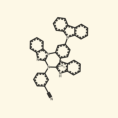 Cc1ccc(-n2c3ccccc3c3ccccc32)cc1-n1c(N(c2cccc(C#N)c2)c2nc3ccccc3[nH]2)nc2ccccc21